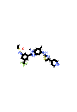 C=C[S+]([O-])Nc1cc(-c2nc3cc(Nc4nc(C5=CCNC=C5)cs4)c(C)cc3n2C)cc(C(F)(F)F)c1